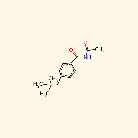 CC(=O)NC(=O)c1ccc(CC(C)(C)C)cc1